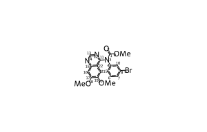 COC(=O)N(c1cccc(Br)c1)c1ncnc2cc(OC)c(OC)cc12